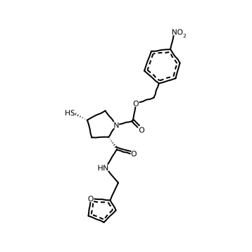 O=C(NCc1ccco1)[C@@H]1C[C@H](S)CN1C(=O)OCc1ccc([N+](=O)[O-])cc1